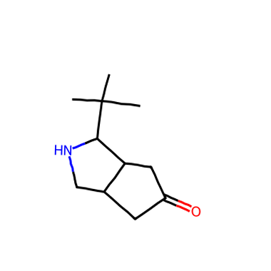 CC(C)(C)C1NCC2CC(=O)CC21